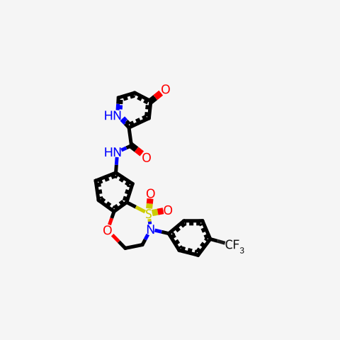 O=C(Nc1ccc2c(c1)S(=O)(=O)N(c1ccc(C(F)(F)F)cc1)CCO2)c1cc(=O)cc[nH]1